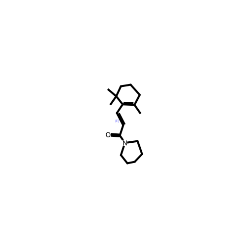 CC1=C(/C=C/C(=O)N2CCCCC2)C(C)(C)CCC1